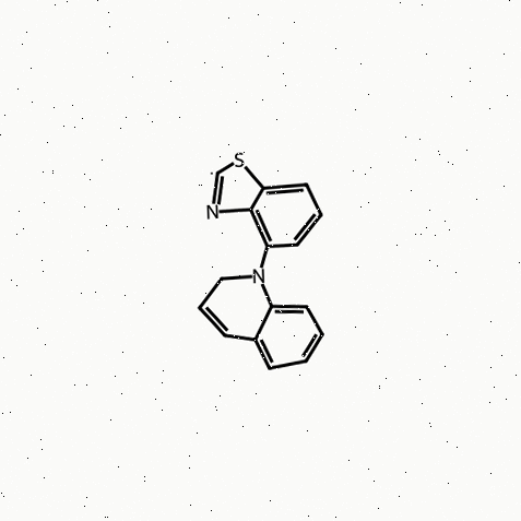 [c]1nc2c(N3CC=Cc4ccccc43)cccc2s1